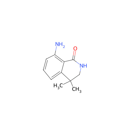 CC1(C)CNC(=O)c2c(N)cccc21